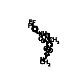 C=NCC1CN(S(=O)(=O)N2CCN(C)C(C(=O)N3CCC[C@@H]3C(=O)NCc3ccc(C(F)(F)F)cc3)C2)C1